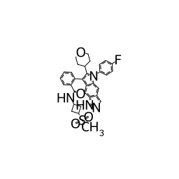 CS(=O)(=O)C1CC(NC(=O)c2ccccc2-c2c(C3CCOCC3)n(-c3ccc(F)cc3)c3cc4cn[nH]c4cc23)C1